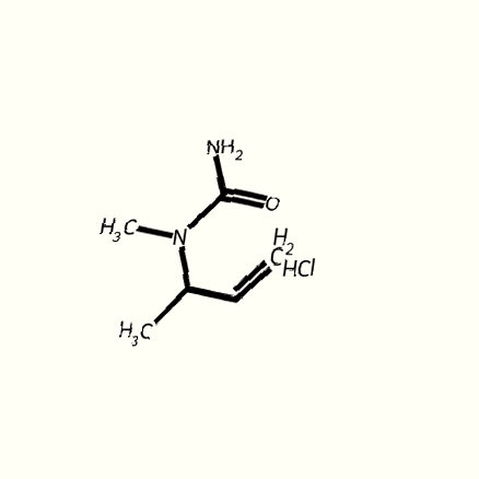 C=CC(C)N(C)C(N)=O.Cl